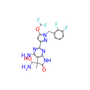 CC1(C(N)O)C(=O)Nc2nc(-c3cc(OC(F)F)n(Cc4cccc(F)c4F)n3)nc(N)c21